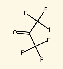 O=C(C(F)(F)F)C(F)(F)I